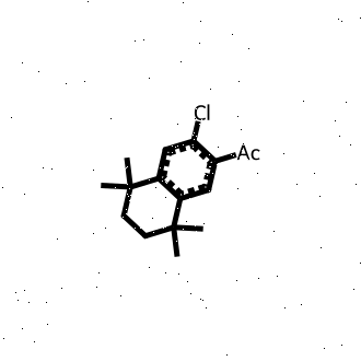 CC(=O)c1cc2c(cc1Cl)C(C)(C)CCC2(C)C